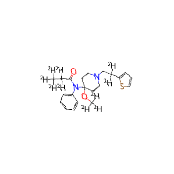 [2H]C([2H])([2H])OC1(N(C(=O)C([2H])([2H])C([2H])([2H])[2H])c2ccccc2)CCN(CC([2H])([2H])c2cccs2)CC1